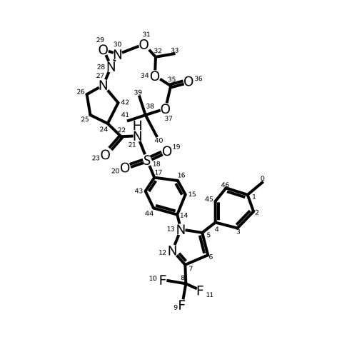 Cc1ccc(-c2cc(C(F)(F)F)nn2-c2ccc(S(=O)(=O)NC(=O)C3CCN(n4on4OC(C)OC(=O)OC(C)(C)C)C3)cc2)cc1